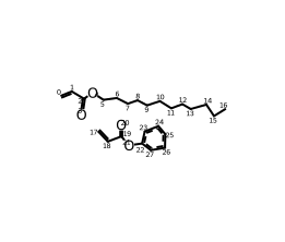 C=CC(=O)OCCCCCCCCCCCC.C=CC(=O)Oc1ccccc1